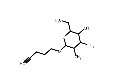 C#CCCCOC1OC(CC)C(C)C(C)C1C